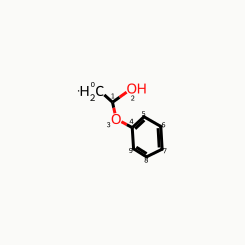 [CH2]C(O)Oc1ccccc1